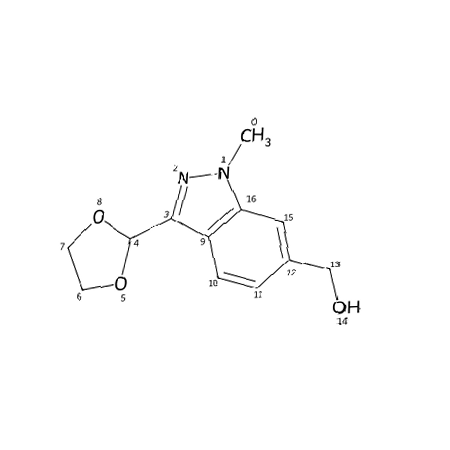 Cn1nc(C2OCCO2)c2ccc(CO)cc21